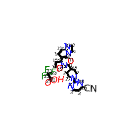 N#Cc1ccnc(N2CCC(C(=O)N3OCCC3c3ccc4nccn4c3)CC2)n1.O=C(O)C(F)(F)F